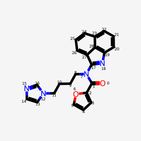 O=C(c1ccco1)N(CCCCn1ccnc1)C1=Nc2cccc3cccc1c23